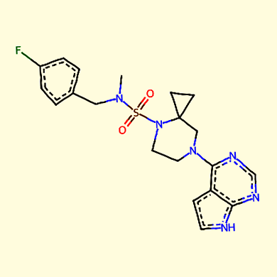 CN(Cc1ccc(F)cc1)S(=O)(=O)N1CCN(c2ncnc3[nH]ccc23)CC12CC2